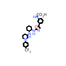 O=C(O)Nc1cccc(-c2cnc(N[C@@H]3CCCC[C@@H]3NC3CCCN(c4ccc(C(F)(F)F)cc4)C3)o2)c1